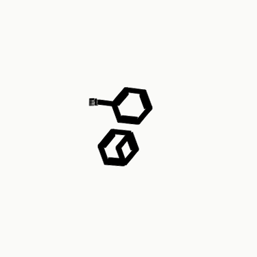 CCc1ccccc1.c1cc2cc(c1)C2